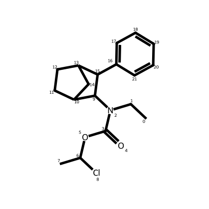 CCN(C(=O)OC(C)Cl)C1C2CCC(C2)C1c1ccccc1